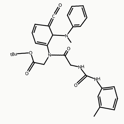 Cc1cccc(NC(=O)NCC(=O)N(CC(=O)OC(C)(C)C)C2=CC=CC(=C=O)C2N(C)c2ccccc2)c1